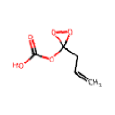 C=CCC1(OC(=O)O)OO1